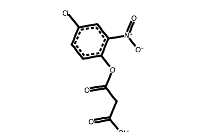 O=C(O)CC(=O)Oc1ccc(Cl)cc1[N+](=O)[O-]